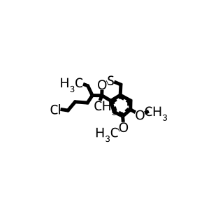 CCC(CCCCl)C1(C)OSCc2cc(OC)c(OC)cc21